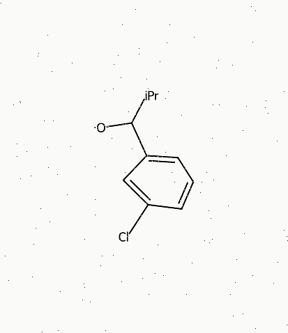 CC(C)C([O])c1cccc(Cl)c1